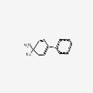 N#CC1([N+](=O)[O-])C=CC(c2ccccc2)=CC1